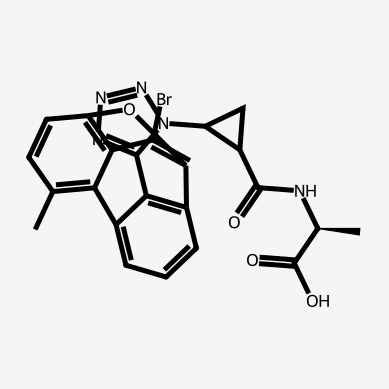 Cc1ccc2oc3c(Br)c2c1-c1cccc-3c1-c1nnnn1C1CC1C(=O)N[C@@H](C)C(=O)O